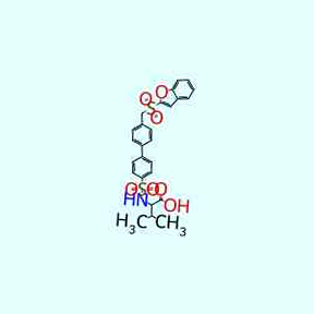 CC(C)C(NS(=O)(=O)c1ccc(-c2ccc(CS(=O)(=O)c3cc4ccccc4o3)cc2)cc1)C(=O)O